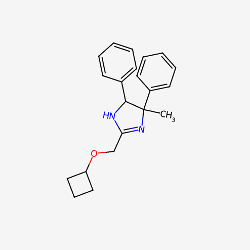 CC1(c2ccccc2)N=C(COC2CCC2)NC1c1ccccc1